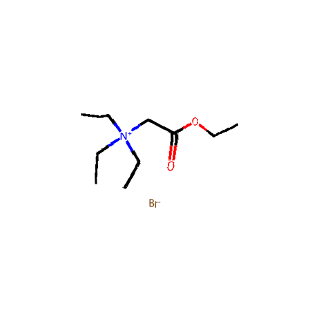 CCOC(=O)C[N+](CC)(CC)CC.[Br-]